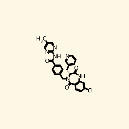 Cc1cnc(NC(=O)c2ccc(CN3C(=O)c4ccc(Cl)cc4NC(=O)[C@H]3Cc3cccnc3)cc2)nc1